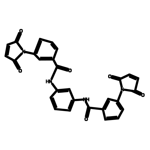 O=C(Nc1cccc(NC(=O)c2cccc(N3C(=O)C=CC3=O)c2)c1)c1cccc(N2C(=O)C=CC2=O)c1